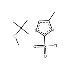 COC(C)(C)C.Cc1csc(S(=O)(=O)Cl)n1